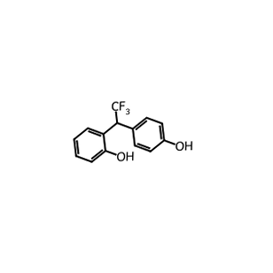 Oc1ccc(C(c2ccccc2O)C(F)(F)F)cc1